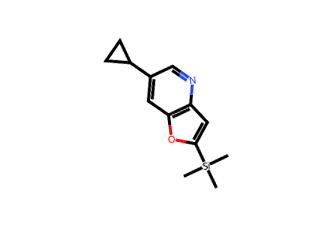 C[Si](C)(C)c1cc2ncc(C3CC3)cc2o1